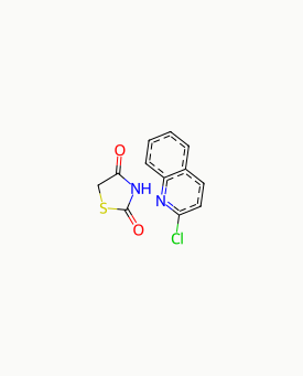 Clc1ccc2ccccc2n1.O=C1CSC(=O)N1